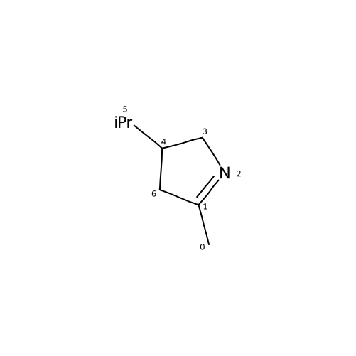 CC1=NCC(C(C)C)C1